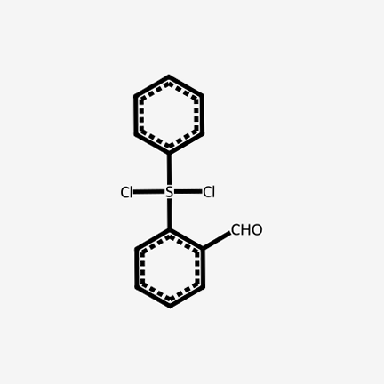 O=Cc1ccccc1S(Cl)(Cl)c1ccccc1